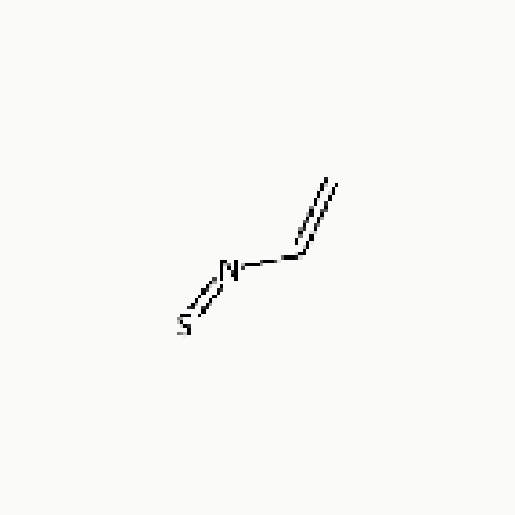 C=CN=S